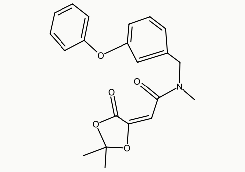 CN(Cc1cccc(Oc2ccccc2)c1)C(=O)C=C1OC(C)(C)OC1=O